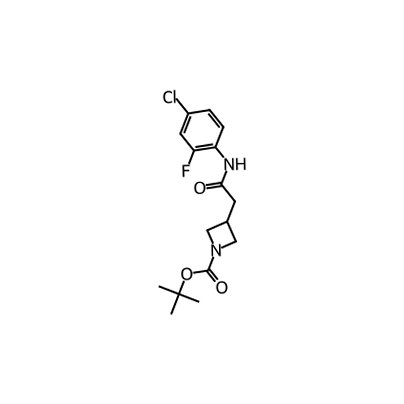 CC(C)(C)OC(=O)N1CC(CC(=O)Nc2ccc(Cl)cc2F)C1